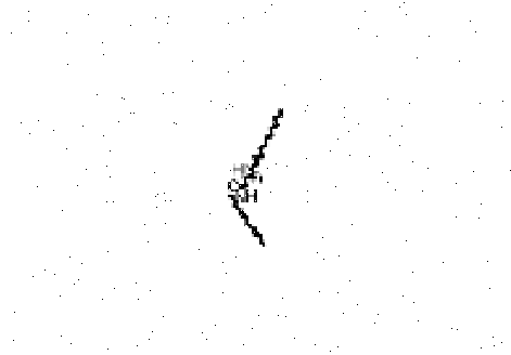 CCCCCCCCCC=C(C)NC(=O)CCC(=O)NCCCCCCCCCCCC